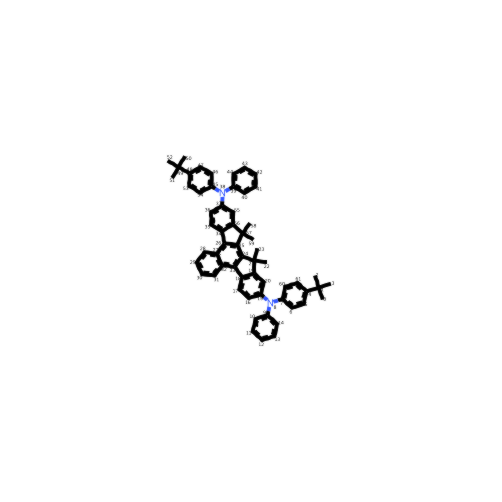 CC(C)(C)c1ccc(N(c2ccccc2)c2ccc3c(c2)C(C)(C)c2c4c(c5ccccc5c2-3)-c2ccc(N(c3ccccc3)c3ccc(C(C)(C)C)cc3)cc2C4(C)C)cc1